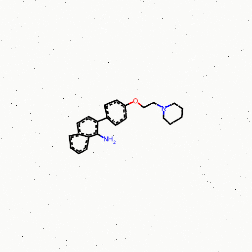 Nc1c(-c2ccc(OCCN3CCCCC3)cc2)ccc2ccccc12